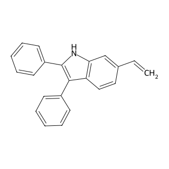 C=Cc1ccc2c(-c3ccccc3)c(-c3ccccc3)[nH]c2c1